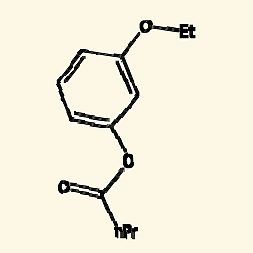 CCCC(=O)Oc1cccc(OCC)c1